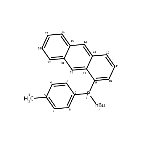 CCCCP(c1ccc(C)cc1)c1cccc2cc3ccccc3cc12